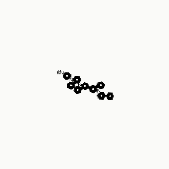 CCCCc1ccc(-n2c3ccccc3c3c(-n4c5ccccc5c5cc(-c6ccc7c(c6)c6ccccc6n7-c6cccc(-c7ccccc7)c6)ccc54)cccc32)cc1